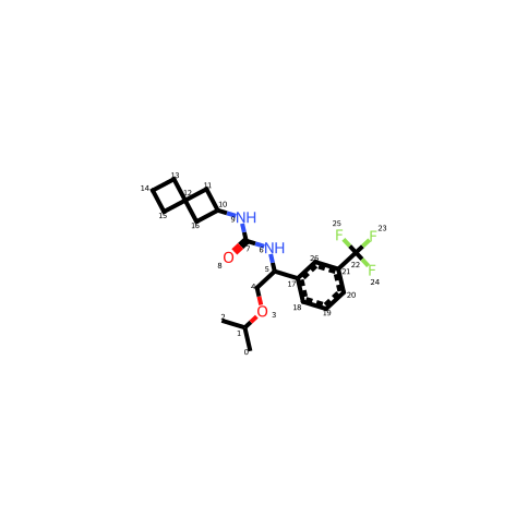 CC(C)OCC(NC(=O)NC1CC2(CCC2)C1)c1cccc(C(F)(F)F)c1